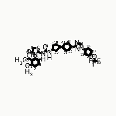 Cc1cccc(N2C(=O)CSC2NC(=O)NC2CCC(c3ccc(-c4ncn(-c5ccc(OC(F)(F)F)cc5)n4)cc3)C2)c1C(C)C